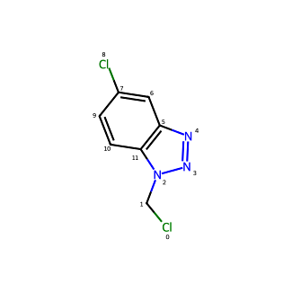 ClCn1nnc2cc(Cl)ccc21